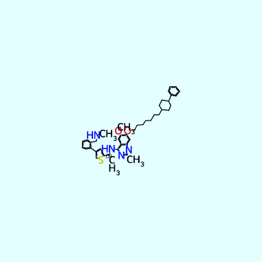 CNCc1ccccc1-c1csc([C@H](C)Nc2nc(C)nc3cc(OCCCCCCCC4CCC(c5ccccc5)CC4)c(OC)cc23)c1